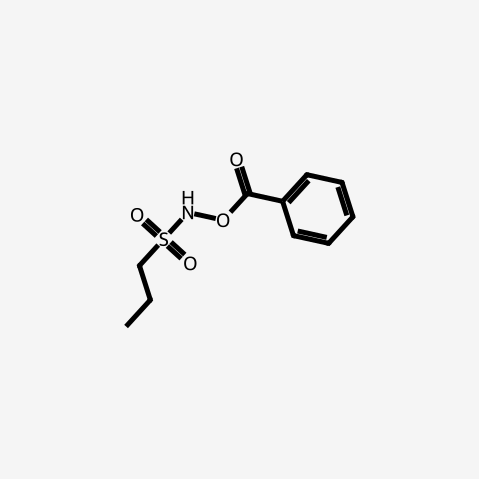 CCCS(=O)(=O)NOC(=O)c1ccccc1